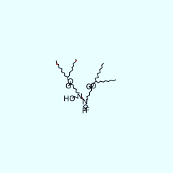 CCCCCCCCC(CCCCCCCC)COC(=O)CCCCCN(CCO)CCN(CCCCCC(=O)OCC(CCCCCCCC)CCCCCCCC)C1CC(F)(F)C1